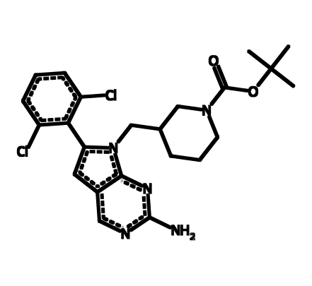 CC(C)(C)OC(=O)N1CCCC(Cn2c(-c3c(Cl)cccc3Cl)cc3cnc(N)nc32)C1